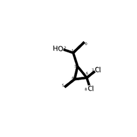 CC(O)C1C(C)C1(Cl)Cl